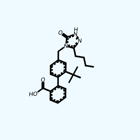 CCCCc1n[nH]c(=O)n1Cc1ccc(-c2ccccc2C(=O)O)c(C(C)(C)C)c1